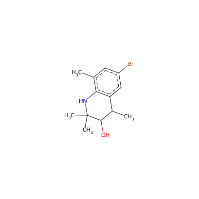 Cc1cc(Br)cc2c1NC(C)(C)C(O)C2C